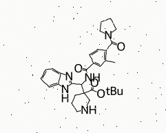 Cc1cc(C(=O)NC(c2nc3ccccc3[nH]2)C2(C(=O)OC(C)(C)C)CCCNC2)ccc1C(=O)N1CCCC1